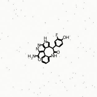 NC(=O)c1nnc2[nH]cc3c2c1-c1ccccc1NC(=O)C3c1ccc(O)c(F)c1